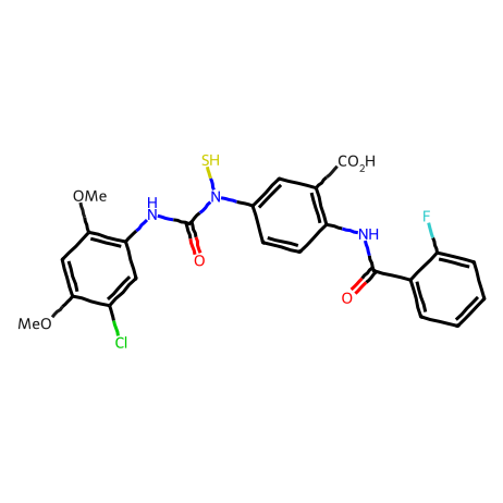 COc1cc(OC)c(NC(=O)N(S)c2ccc(NC(=O)c3ccccc3F)c(C(=O)O)c2)cc1Cl